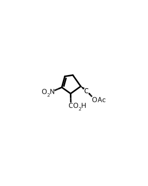 CC(=O)OC[C@@H]1CC=C([N+](=O)[O-])C1C(=O)O